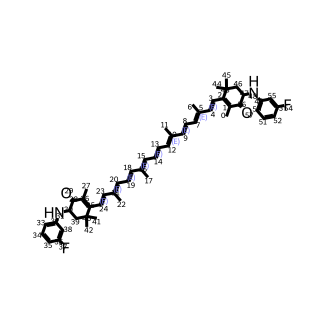 CC1=C(/C=C/C(C)=C/C=C/C(C)=C/C=C/C=C(C)/C=C/C=C(C)/C=C/C2=C(C)C(=O)C(Nc3cccc(F)c3)CC2(C)C)C(C)(C)CC(Nc2cccc(F)c2)C1=O